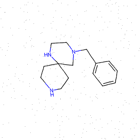 c1ccc(CN2CCNC3(CCNCC3)C2)cc1